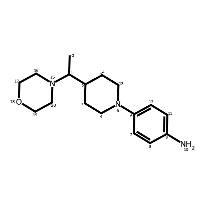 CC(C1CCN(c2ccc(N)cc2)CC1)N1CCOCC1